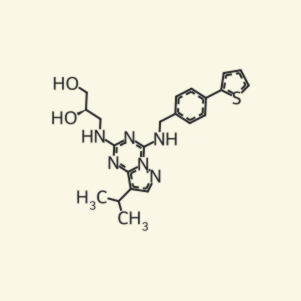 CC(C)c1cnn2c(NCc3ccc(-c4cccs4)cc3)nc(NC[C@@H](O)CO)nc12